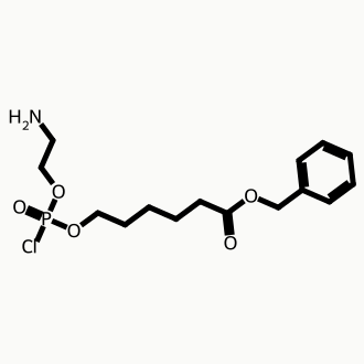 NCCOP(=O)(Cl)OCCCCCC(=O)OCc1ccccc1